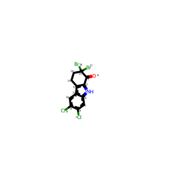 O=C1c2[nH]c3cc(Cl)c(Cl)cc3c2CCC1(Br)Br